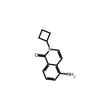 Nc1cccc2c(=O)n(C3CCC3)ccc12